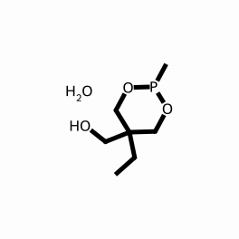 CCC1(CO)COP(C)OC1.O